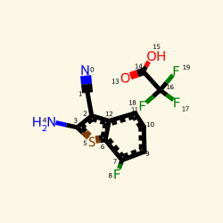 N#Cc1c(N)sc2c(F)cccc12.O=C(O)C(F)(F)F